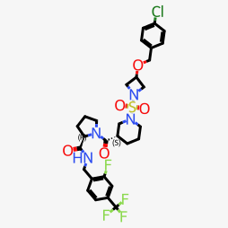 O=C(NCc1ccc(C(F)(F)F)cc1F)[C@H]1CCCN1C(=O)[C@H]1CCCN(S(=O)(=O)N2CC(OCc3ccc(Cl)cc3)C2)C1